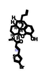 C=CCN1CC[C@]23c4c5ccc(O)c4O[C@H]2[C@H](N(C)C(=O)/C=C/c2cc(Br)cs2)CC[C@H]3[C@H]1C5